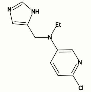 CCN(Cc1cnc[nH]1)c1ccc(Cl)nc1